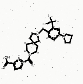 O=C(O)c1ccn(C(=O)N2CCC3(CCN(Cc4ccc(N5CCCC5)cc4C(F)(F)F)C3)CC2)n1